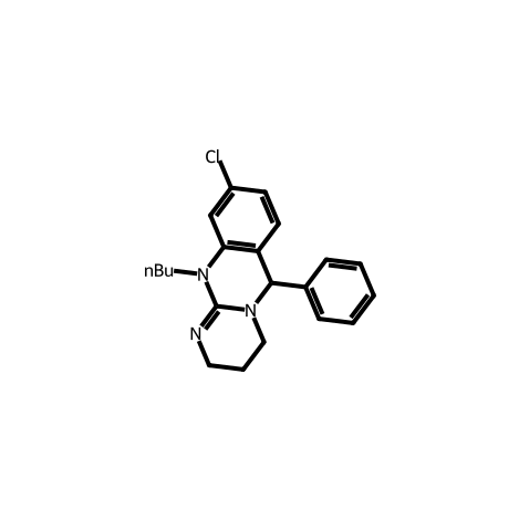 CCCCN1C2=NCCCN2C(c2ccccc2)c2ccc(Cl)cc21